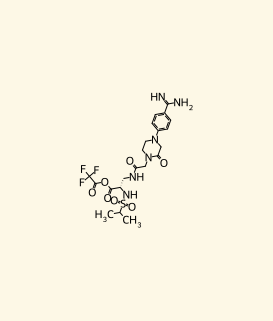 CC(C)S(=O)(=O)N[C@@H](CNC(=O)CN1CCN(c2ccc(C(=N)N)cc2)CC1=O)C(=O)OC(=O)C(F)(F)F